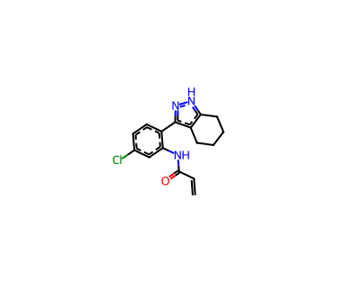 C=CC(=O)Nc1cc(Cl)ccc1-c1n[nH]c2c1CCCC2